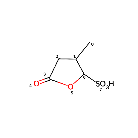 CC1CC(=O)OC1S(=O)(=O)O